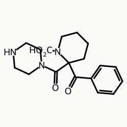 O=C(O)N1CCCCC1(C(=O)c1ccccc1)C(=O)N1CCNCC1